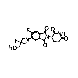 O=C1CCC(N2C(=O)c3cc(F)c(N4CC(F)(CO)C4)cc3C2=O)C(=O)N1